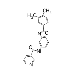 Cc1ccc(-c2nc3cc(NC(=O)c4cccnc4)ccc3o2)cc1C